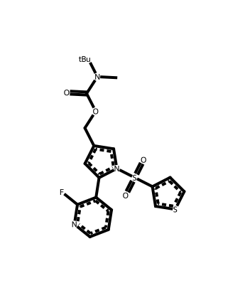 CN(C(=O)OCc1cc(-c2cccnc2F)n(S(=O)(=O)c2ccsc2)c1)C(C)(C)C